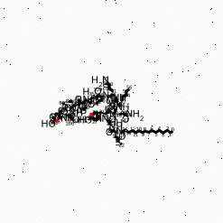 CCCCCCCCCCCCCCCC(=O)N[C@@H](CCSC)C(=O)NCC(=O)N[C@@H](Cc1ccc(O)cc1)C(=O)N[C@@H](CCC(N)=O)C(=O)N[C@@H](CCCCC)C(=O)N[C@@H](CCCCN)C(=O)N[C@H]1CC(C)N([C@@H](C)C(=O)N[C@@H](CO)C(=O)N[C@@H](CCSC)C(=O)N[C@H](C(=O)N[C@@H](CC(=O)O)C(C)=O)[C@@H](C)O)C1=O